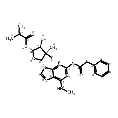 CNc1nc(NC(=O)Cc2ccccc2)nc2c1ncn2[C@@H]1O[C@H](OC(=O)C(C)C)[C@@H](O)[C@@]1(C)F